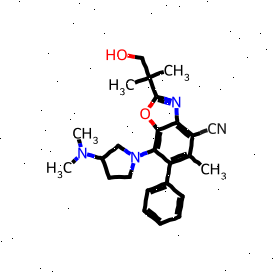 Cc1c(-c2ccccc2)c(N2CCC(N(C)C)C2)c2oc(C(C)(C)CO)nc2c1C#N